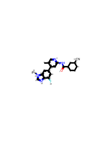 Cc1cnc(NC(=O)C2CCCC(C#N)C2)cc1-c1cc(F)c2ncn(C(C)C)c2c1